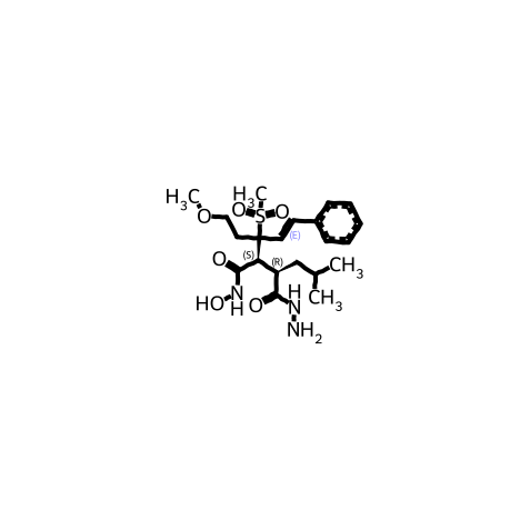 COCCC(/C=C/c1ccccc1)([C@H](C(=O)NO)[C@@H](CC(C)C)C(=O)NN)S(C)(=O)=O